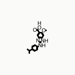 COc1cc2[nH]c(Nc3ccc(C(C)C)cc3)nc2cc1C(=O)O